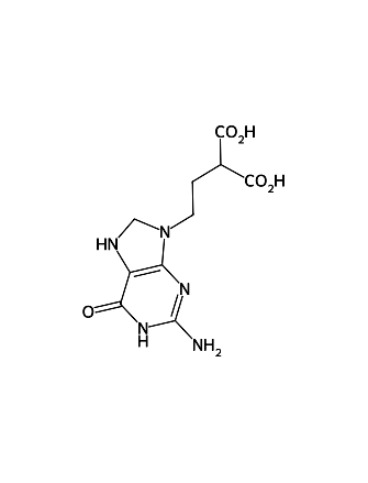 Nc1nc2c(c(=O)[nH]1)NCN2CCC(C(=O)O)C(=O)O